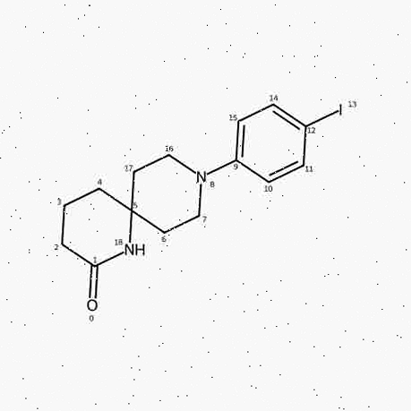 O=C1CCCC2(CCN(c3ccc(I)cc3)CC2)N1